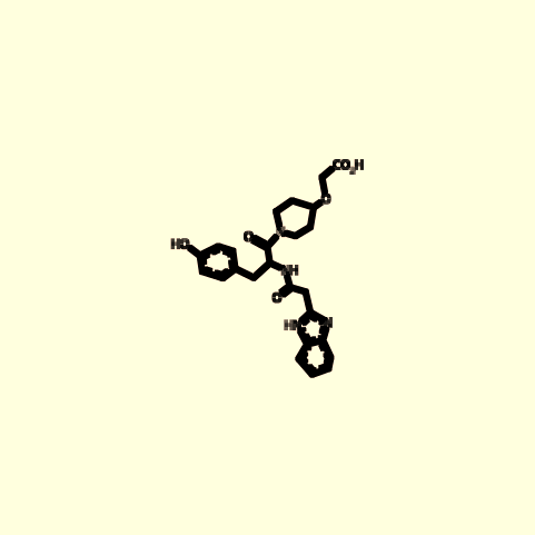 O=C(O)COC1CCN(C(=O)C(Cc2ccc(O)cc2)NC(=O)Cc2nc3ccccc3[nH]2)CC1